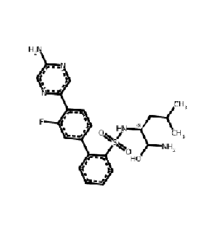 CC(C)C[C@H](NS(=O)(=O)c1ccccc1-c1ccc(-c2cnc(N)cn2)c(F)c1)C(N)O